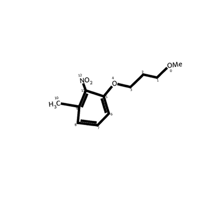 COCCCOc1cccc(C)c1[N+](=O)[O-]